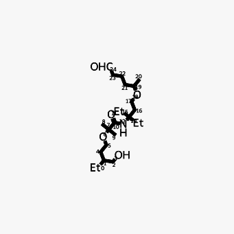 CCC(CO)CCOC(C)(C)C(=O)NC(CC)(CC)CCOC(C)CCCC=O